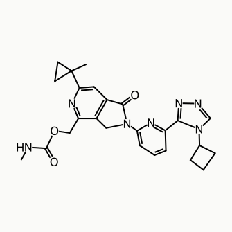 CNC(=O)OCc1nc(C2(C)CC2)cc2c1CN(c1cccc(-c3nncn3C3CCC3)n1)C2=O